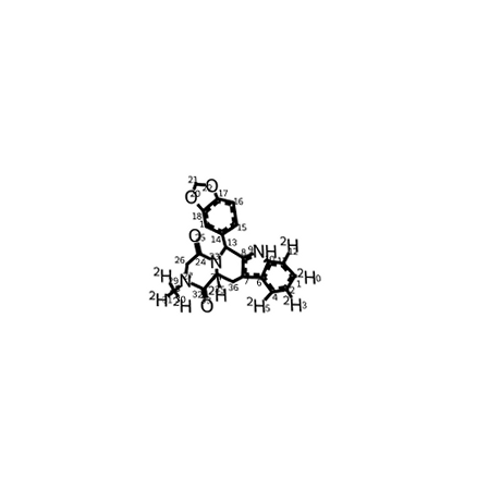 [2H]c1c([2H])c([2H])c2c3c([nH]c2c1[2H])C(c1ccc2c(c1)OCO2)N1C(=O)CN(C([2H])([2H])[2H])C(=O)[C@@]1([2H])C3